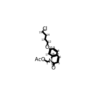 CC(=O)OCn1c(=O)ccc2ccc(OCCCCCl)cc21